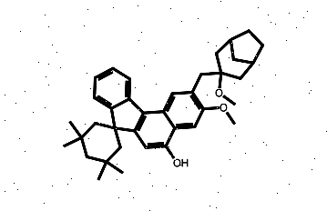 COc1cc2c(O)cc3c(c2cc1CC1(OC)CC2CCC(C2)C1)-c1ccccc1C31CC(C)(C)CC(C)(C)C1